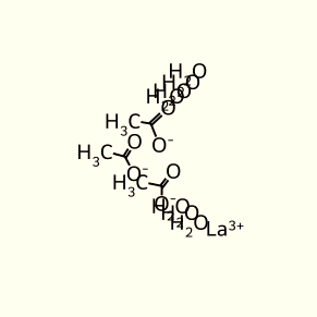 CC(=O)[O-].CC(=O)[O-].CC(=O)[O-].O.O.O.O.O.O.O.[La+3]